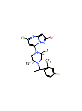 CC[C@H]1CN(C(C)c2ccc(F)cc2C(F)(F)F)[C@H](CC)CN1c1cc(Cl)nc2cc(Br)nn12